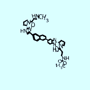 CNCCC(=O)N1CCC[C@H]1c1nc(-c2ccc3cc(-c4ccc5[nH]c([C@@H]6CCCN6C(=O)CCNC(=O)OC)nc5c4)ccc3c2)c[nH]1